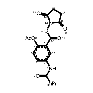 CCCC(=O)Nc1ccc(OC(C)=O)c(C(=O)ON2C(=O)CCC2=O)c1